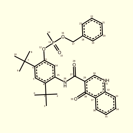 CC(C)(C)c1cc(C(C)(C)C)c(OP(C)(=O)OCc2ccccc2)cc1NC(=O)c1c[nH]c2ccccc2c1=O